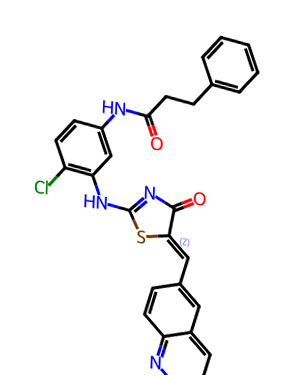 O=C(CCc1ccccc1)Nc1ccc(Cl)c(NC2=NC(=O)/C(=C/c3ccc4ncccc4c3)S2)c1